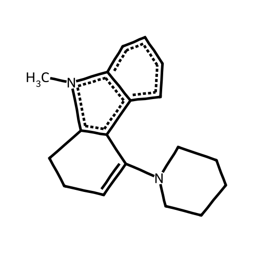 Cn1c2c(c3ccccc31)C(N1CCCCC1)=CCC2